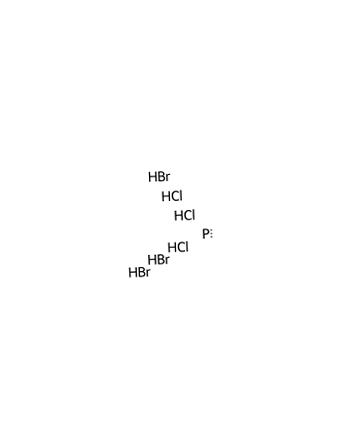 Br.Br.Br.Cl.Cl.Cl.[P]